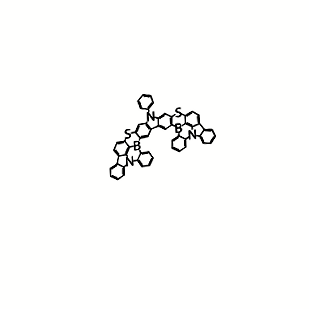 c1ccc(-n2c3cc4c(cc3c3cc5c(cc32)Sc2ccc3c6ccccc6n6c3c2B5c2ccccc2-6)B2c3ccccc3-n3c5ccccc5c5ccc(c2c53)S4)cc1